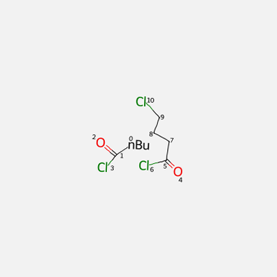 CCCCC(=O)Cl.O=C(Cl)CCCCl